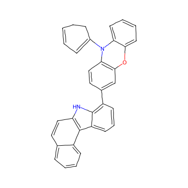 C1=CCCC(N2c3ccccc3Oc3cc(-c4cccc5c4[nH]c4ccc6ccccc6c45)ccc32)=C1